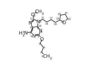 CCCCOc1nc(N)c2nc(OC)n(CCCCC3CCCO3)c2n1